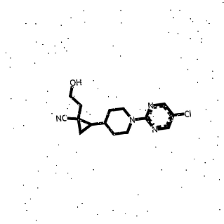 N#CC1(CCO)CC1C1CCN(c2ncc(Cl)cn2)CC1